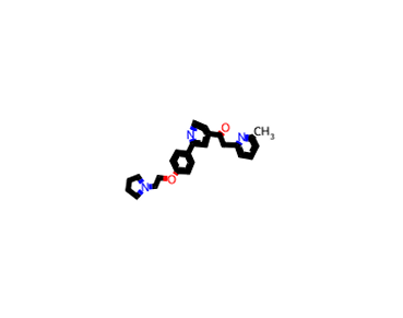 Cc1cccc(CC(=O)c2ccnc(-c3ccc(OCCN4CCCC4)cc3)c2)n1